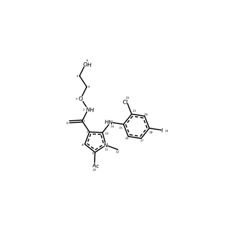 C=C(NOCCO)c1cc(C(C)=O)n(C)c1Nc1ccc(I)cc1Cl